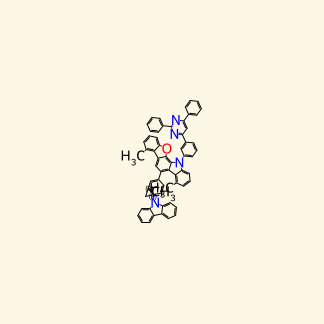 Cc1cccc2oc3c(cc(C4=C[C@@]5(C)C[C@@]5(n5c6ccccc6c6ccccc65)C=C4)c4c5c(C)cccc5n(-c5cccc(-c6cc(-c7ccccc7)nc(-c7ccccc7)n6)c5)c34)c12